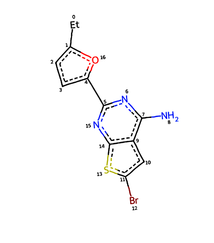 CCc1ccc(-c2nc(N)c3cc(Br)sc3n2)o1